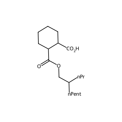 CCCCCC(CCC)COC(=O)C1CCCCC1C(=O)O